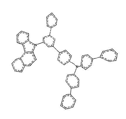 c1ccc(-c2ccc(N(c3ccc(-c4ccccc4)cc3)c3ccc(-c4cc(-c5ccccc5)cc(-n5c6ccccc6c6c7ccccc7ccc65)c4)cc3)cc2)cc1